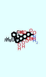 COc1cc(O)c2c(O)c3c(c4c2c1[C@]1(C4)C(C)=CCCC1(C)C)[C@H](O)[C@@]1(O)CC(=O)C(C(N)=O)=C(O)[C@@]1(O)C3=O